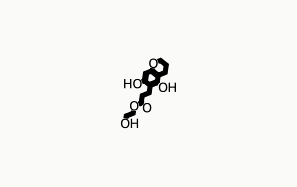 O=C(CCc1c(O)cc2c(c1O)CCCO2)OCCO